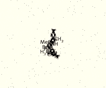 COc1cc(N2CCN(C3CC3)CC2)c(C)cc1Nc1ncc(Br)c(Nc2ccc3nc(C4CC4)ccc3c2P(C)C)n1